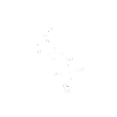 COCC(C)(C)CCCC(=O)CN1[C@@H]2CC[C@@H]1CC(CC(=O)NCCC1CC3CC[C@H](C1)C3)C2